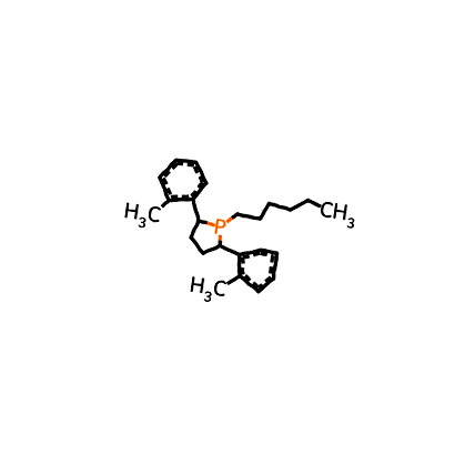 CCCCCCP1C(c2ccccc2C)CCC1c1ccccc1C